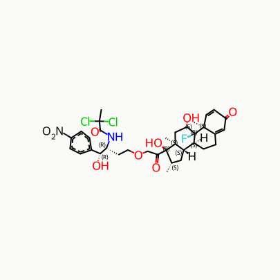 C[C@H]1C[C@H]2[C@@H]3CCC4=CC(=O)C=C[C@]4(C)[C@@]3(F)[C@@H](O)C[C@]2(C)[C@@]1(O)C(=O)COCC[C@@H](NC(=O)C(C)(Cl)Cl)[C@H](O)c1ccc([N+](=O)[O-])cc1